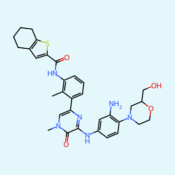 Cc1c(NC(=O)c2cc3c(s2)CCCC3)cccc1-c1cn(C)c(=O)c(Nc2ccc(N3CCOC(CO)C3)c(N)c2)n1